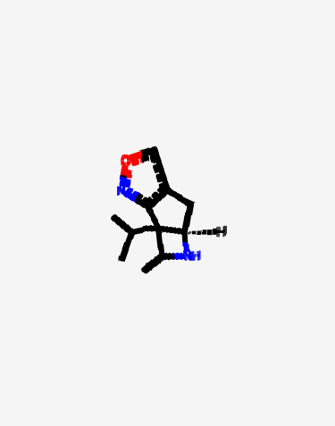 CC(C)C12c3nocc3C[C@H]1NC2C